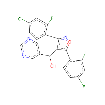 OC(c1cncnc1)c1c(-c2ccc(Cl)cc2F)noc1-c1ccc(F)cc1F